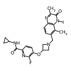 Cc1nc2ccc(CN3CC(Oc4ccc(C(=O)NC5CC5)nc4F)C3)c(C)c2n(I)c1=O